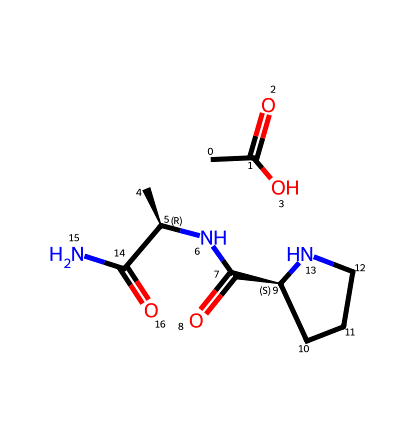 CC(=O)O.C[C@@H](NC(=O)[C@@H]1CCCN1)C(N)=O